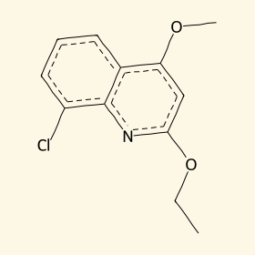 CCOc1cc(OC)c2cccc(Cl)c2n1